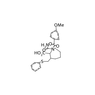 COc1ccc(S(=O)(=O)[N+]2(C(N)=O)CCCCC(CSc3ccccc3)C2C(=O)O)cc1